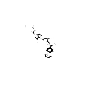 CC(=O)N(C)CC(=O)N1CC(=O)C2C1CCN2C(=O)CC(C)CCNC(=O)c1ccc(N2CCCC2)cc1